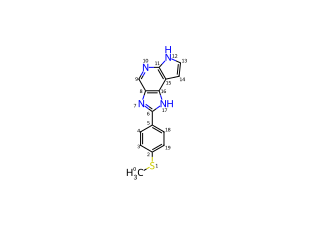 CSc1ccc(-c2nc3cnc4[nH]ccc4c3[nH]2)cc1